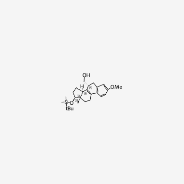 COc1ccc2c(c1)C[C@@H](CO)C1=C2CC[C@]2(C)[C@@H](O[Si](C)(C)C(C)(C)C)CC[C@@H]12